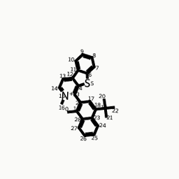 Cc1c(-c2c3sc4ccccc4c3cc[n+]2C)cc(C(C)(C)C)c2ccccc12